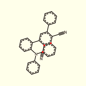 N#Cc1cc(C#N)c(-c2ccccc2N(c2ccccc2)c2ccccc2)cc1-c1ccccc1